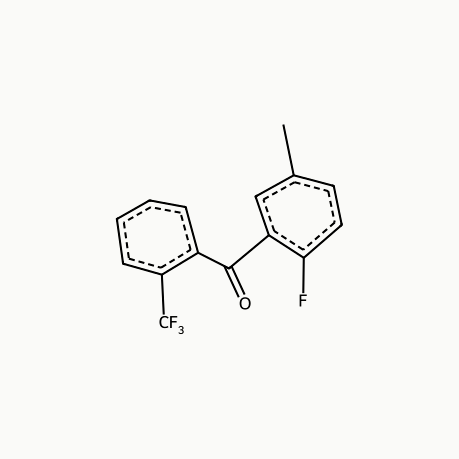 Cc1ccc(F)c(C(=O)c2ccccc2C(F)(F)F)c1